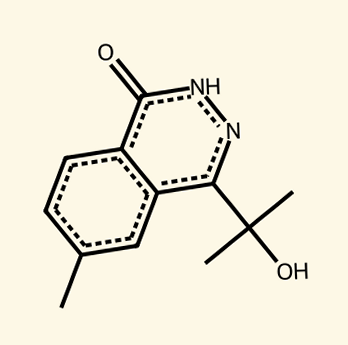 Cc1ccc2c(=O)[nH]nc(C(C)(C)O)c2c1